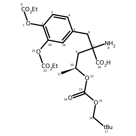 CCOC(=O)Oc1ccc(CC(N)(C[C@H](C)OC(=O)OCC(C)(C)C)C(=O)O)cc1OC(=O)OCC